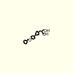 OCC(CO)Cc1ccc(-c2ccc(OCc3ccccc3)cc2)cc1